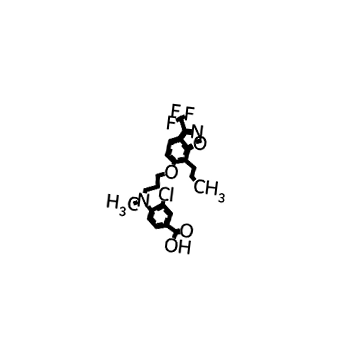 CCCc1c(OCCCN(C)c2ccc(C(=O)O)cc2Cl)ccc2c(C(F)(F)F)noc12